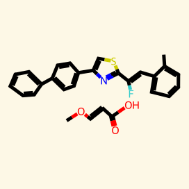 COC=CC(=O)O.Cc1ccccc1C=C(F)c1nc(-c2ccc(-c3ccccc3)cc2)cs1